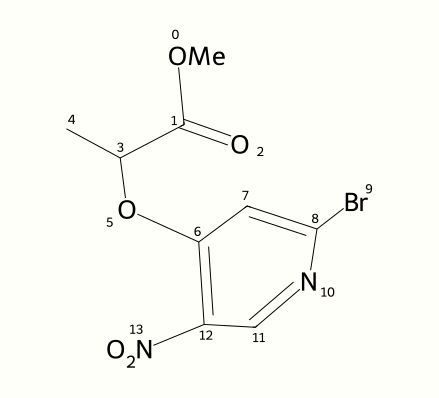 COC(=O)C(C)Oc1cc(Br)ncc1[N+](=O)[O-]